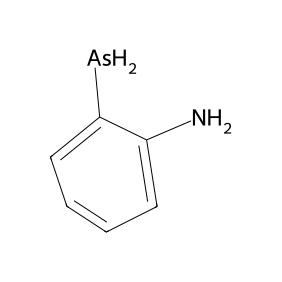 Nc1ccccc1[AsH2]